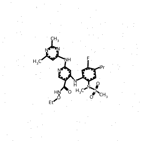 CCONC(=O)c1cnc(Nc2cc(C)nc(C)n2)cc1Nc1cc(F)c(C(C)C)cc1N(C)S(C)(=O)=O